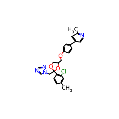 Cc1ccc(C2(Cn3cncn3)OCC(COc3ccc(-c4ccnc(C)c4)cc3)O2)c(Cl)c1